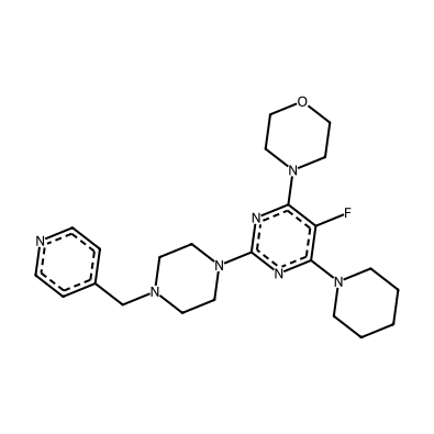 Fc1c(N2CCCCC2)nc(N2CCN(Cc3ccncc3)CC2)nc1N1CCOCC1